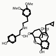 COc1ccc(CCNC[C@H](O)c2ccc(O)cc2)cc1OC.O=C1CC[C@@]2(O)[C@H]3Cc4ccc(O)c5c4[C@@]2(CCN3CC2CC2)[C@H]1O5